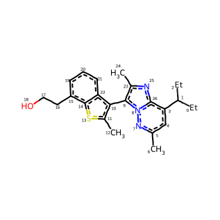 CCC(CC)c1cc(C)nn2c(-c3c(C)sc4c(CCO)cccc34)c(C)nc12